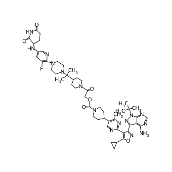 Cc1nc(-c2c(-c3nn(C(C)(C)C)c4ncnc(N)c34)noc2C2CC2)ncc1C1CCN(C(=O)OCC(=O)N2CCC(C(C)(C)N3CCN(c4ncc(NC5CCC(=O)NC5=O)cc4F)CC3)CC2)CC1